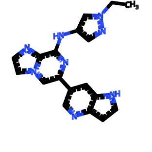 CCn1cc(Nc2nc(-c3cnc4cc[nH]c4c3)cn3ccnc23)cn1